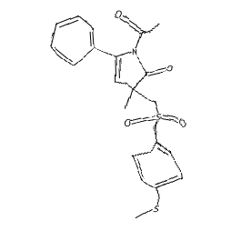 CSc1ccc(S(=O)(=O)CC2(C)C=C(c3ccccc3)N(C(C)=O)C2=O)cc1